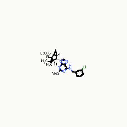 CCOC(=O)[C@]12C[C@@H]1[C@H](n1cnc3c(NCc4cccc(Cl)c4)nc(SC)nc31)[C@H]1[C@@H]2C1(C)C